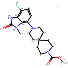 CCCCOC(=O)N1CCC2(CC1)CCN(c1ccc(F)c3[nH]c(=O)n(C)c13)CC2